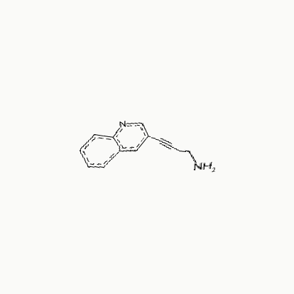 NCC#Cc1cnc2ccccc2c1